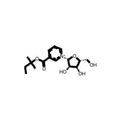 CCC(C)(C)OC(=O)c1ccc[n+]([C@@H]2O[C@H](CO)[C@@H](O)[C@H]2O)c1